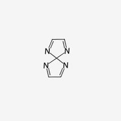 C1=NC2(N=C1)N=CC=N2